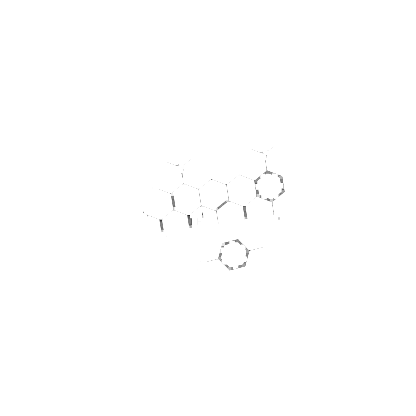 CN(C)c1ccc(O)c2c1CC1CC3[C@H](N(C)C)C(O)=C(C(N)=O)C(=O)[C@@]3(O)C(O)=C1C2=O.O=S(=O)(O)c1ccc(Cl)cc1